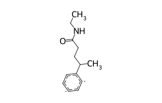 CCNC(=O)CCC(C)c1[c]c[c]cc1